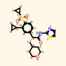 O=C(Nc1nccs1)[C@H](CC1CCOCC1)c1ccc(S(=O)(=O)C2CC2)c(C2CC2)c1